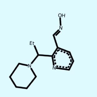 CCC(c1ncccc1C=NO)N1CCCCC1